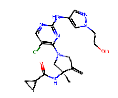 C=C1CN(c2nc(Nc3cnn(CCO)c3)ncc2Cl)C[C@@]1(C)NC(=O)C1CC1